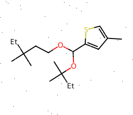 CCC(C)(C)CCOC(OC(C)(C)CC)c1cc(C)cs1